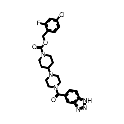 O=C(OCc1ccc(Cl)cc1F)N1CCC(N2CCN(C(=O)c3ccc4[nH]nnc4c3)CC2)CC1